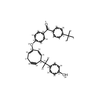 CC(C)(C)c1ccc(C(=O)c2ccc(OC3=C/CC#CC(C(C)(C)c4ccc(O)cc4)/C=C\3)cc2)cc1